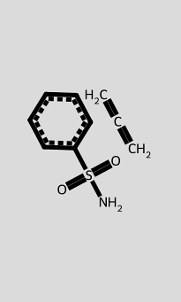 C=C=C.NS(=O)(=O)c1ccccc1